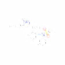 CCCCc1nn(CC)c(C(=O)O)c1Cc1ccc(-c2ccccc2NS(=O)(=O)C(F)(F)F)cc1